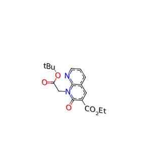 CCOC(=O)c1cc2cccnc2n(CC(=O)OC(C)(C)C)c1=O